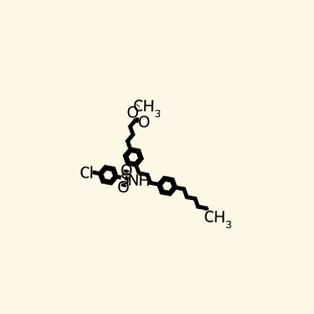 CCCCCCc1ccc(CCC(NS(=O)(=O)c2ccc(Cl)cc2)c2ccc(CCCC(=O)OC)cc2)cc1